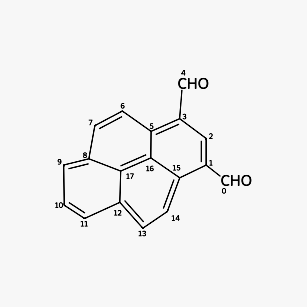 O=Cc1cc(C=O)c2ccc3cccc4ccc1c2c43